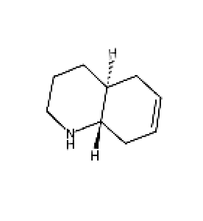 C1=CC[C@@H]2NCCC[C@H]2C1